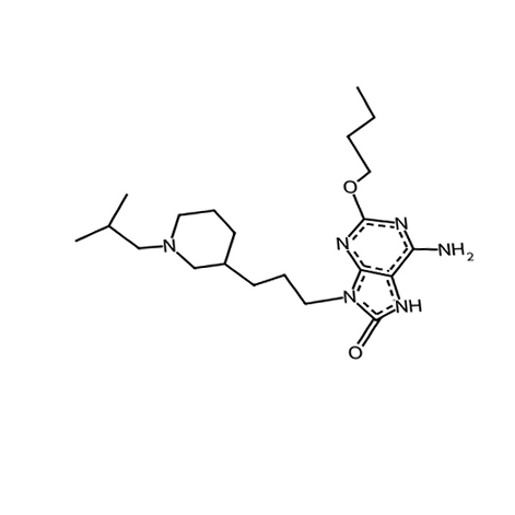 CCCCOc1nc(N)c2[nH]c(=O)n(CCCC3CCCN(CC(C)C)C3)c2n1